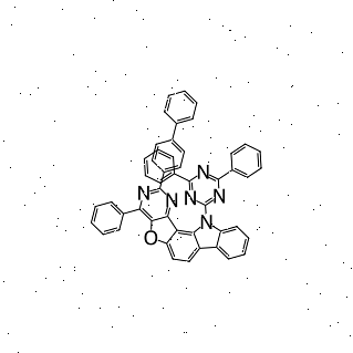 c1ccc(-c2ccc(-c3nc(-c4ccccc4)c4oc5ccc6c7ccccc7n(-c7nc(-c8ccccc8)nc(-c8ccccc8)n7)c6c5c4n3)cc2)cc1